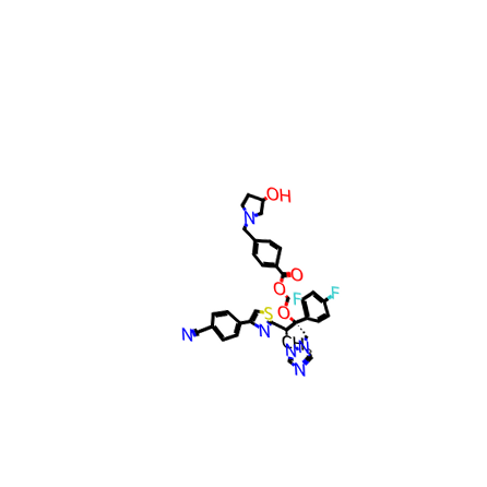 C[C@@H](c1nc(-c2ccc(C#N)cc2)cs1)[C@@](Cn1cncn1)(OCOC(=O)c1ccc(CN2CCC(O)C2)cc1)c1ccc(F)cc1F